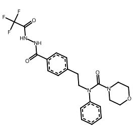 O=C(NNC(=O)C(F)(F)F)c1ccc(CCN(C(=O)N2CCOCC2)c2ccccc2)cc1